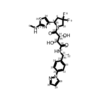 CNc1nc([C@H]2CC(F)(F)CN2C(=O)[C@H](O)[C@@H](O)C(=O)N[C@H](C)c2ccc(-n3cccn3)cc2)cs1